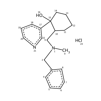 CN(Cc1ccccc1)CC1CCCCC1(O)c1cccnc1.Cl